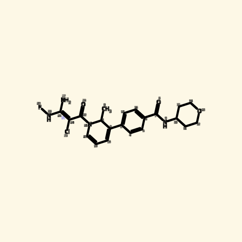 CC1C(c2ccc(C(=O)NC3CCOCC3)cc2)=CC=CN1C(=O)/C(Cl)=C(\N)NF